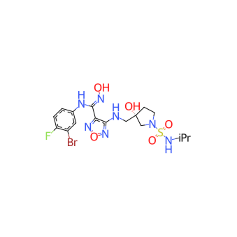 CC(C)NS(=O)(=O)N1CC[C@](O)(CNc2nonc2/C(=N/O)Nc2ccc(F)c(Br)c2)C1